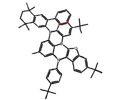 Cc1cc2c3c(c1)N(c1ccc(C(C)(C)C)cc1)c1c(oc4cc(C(C)(C)C)ccc14)B3c1cc(C(C)(C)C)ccc1N2c1cc2c(cc1-c1ccccc1)C(C)(C)CCC2(C)C